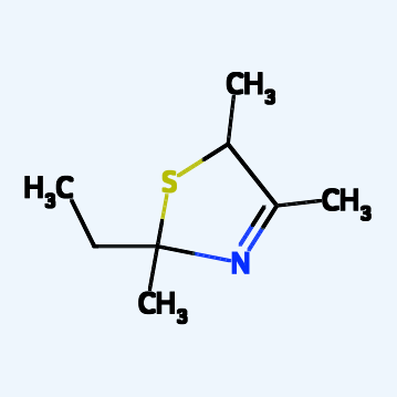 CCC1(C)N=C(C)C(C)S1